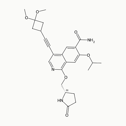 COC1(OC)CC(C#Cc2cnc(OC[C@@H]3CCC(=O)N3)c3cc(OC(C)C)c(C(N)=O)cc23)C1